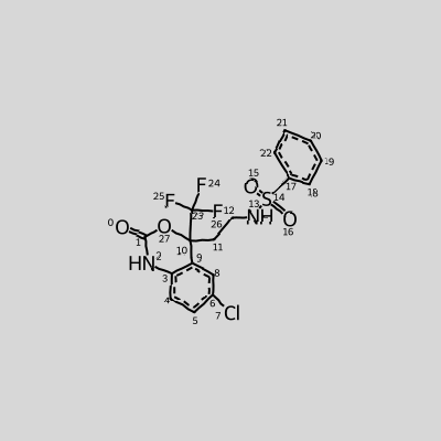 O=C1Nc2ccc(Cl)cc2C(CCNS(=O)(=O)c2ccccc2)(C(F)(F)F)O1